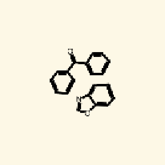 O=C(c1ccccc1)c1ccccc1.c1ccc2ocnc2c1